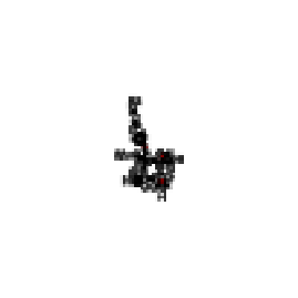 CCOCCOCCOc1ccc(CCC[C@@H](C(=O)OC)N2CCN(C3C(=O)CNC3=O)CCN(C3C(=O)CNC3=O)CCN(C3C(=O)CNC3=O)CC2)cc1